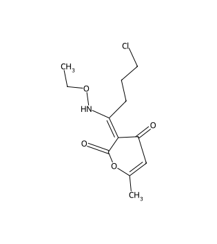 CCONC(CCCCl)=C1C(=O)C=C(C)OC1=O